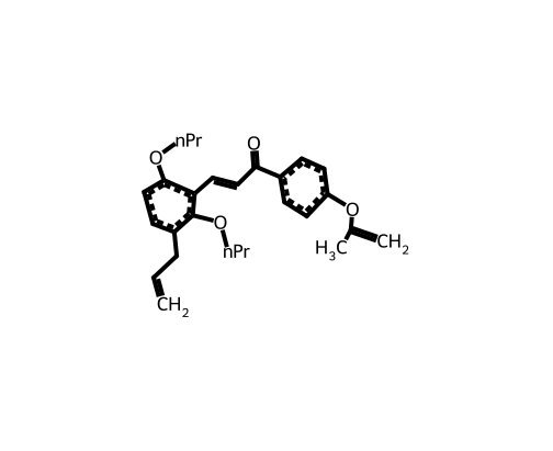 C=CCc1ccc(OCCC)c(C=CC(=O)c2ccc(OC(=C)C)cc2)c1OCCC